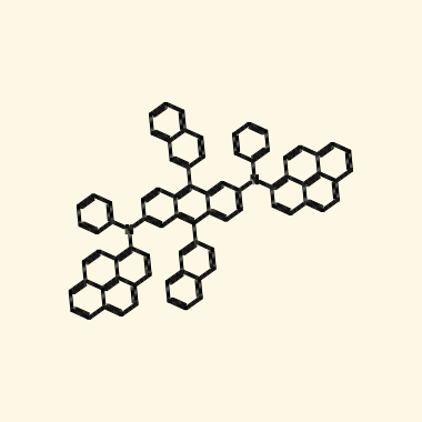 c1ccc(N(c2ccc3c(-c4ccc5ccccc5c4)c4cc(N(c5ccccc5)c5ccc6ccc7cccc8ccc5c6c78)ccc4c(-c4ccc5ccccc5c4)c3c2)c2ccc3ccc4cccc5ccc2c3c45)cc1